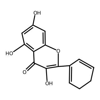 O=c1c(O)c(C2=CCCC=C2)oc2cc(O)cc(O)c12